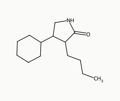 CCCCC1C(=O)NCC1C1CCCCC1